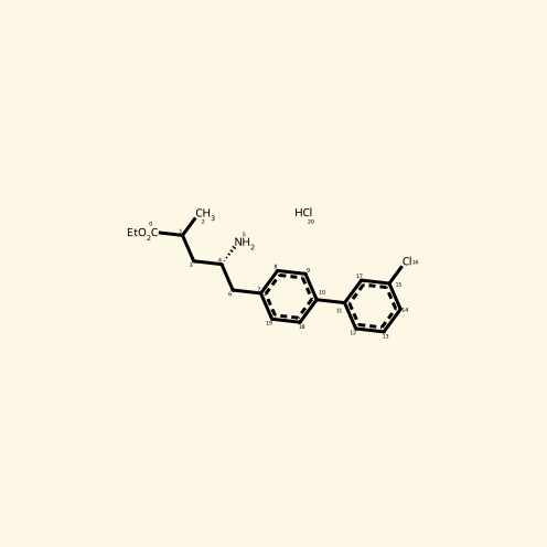 CCOC(=O)C(C)C[C@H](N)Cc1ccc(-c2cccc(Cl)c2)cc1.Cl